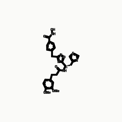 COc1ccc(CCC(=O)N[C@@H](Cc2cscn2)c2nc(Cc3ccc(C(=O)NO)cc3)no2)cc1OC